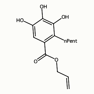 C=CCOC(=O)c1cc(O)c(O)c(O)c1CCCCC